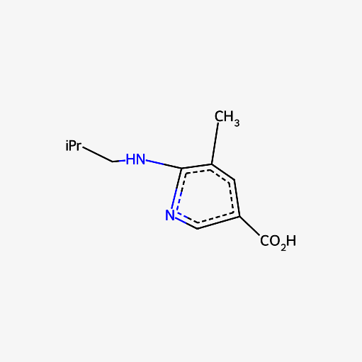 Cc1cc(C(=O)O)cnc1NCC(C)C